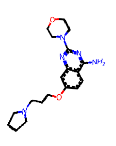 Nc1nc(N2CCOCC2)nc2cc(OCCCN3CCCC3)ccc12